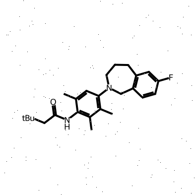 Cc1cc(N2CCCc3cc(F)ccc3C2)c(C)c(C)c1NC(=O)CC(C)(C)C